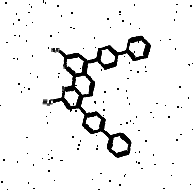 Cc1cc(-c2ccc(-c3ccccc3)cc2)c2ccc3c(-c4ccc(-c5ccccc5)cc4)cc(C)nc3c2n1